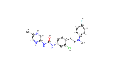 CCN(CCc1ccc(NC(=O)Nc2cnc(C#N)cn2)cc1Cl)c1ccc(F)cc1